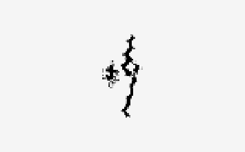 CCCCCCC[n+]1ccc(CCCC)cc1.O=S(=O)([O-])C(F)(F)F